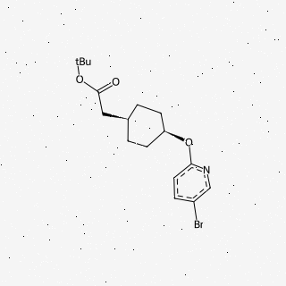 CC(C)(C)OC(=O)C[C@H]1CC[C@@H](Oc2ccc(Br)cn2)CC1